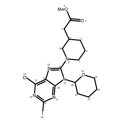 COC(=O)CC1CCCN(c2nc3c(Cl)nc(I)nc3n2C2CCCCO2)C1